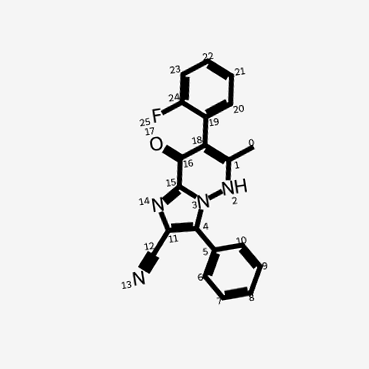 Cc1[nH]n2c(-c3ccccc3)c(C#N)nc2c(=O)c1-c1ccccc1F